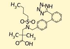 CCCCS(=O)(=O)N(Cc1ccc(-c2ccccc2-c2nnn[nH]2)cc1)CC(C)(C)C(=O)O